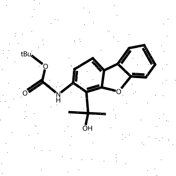 CC(C)(C)OC(=O)Nc1ccc2c(oc3ccccc32)c1C(C)(C)O